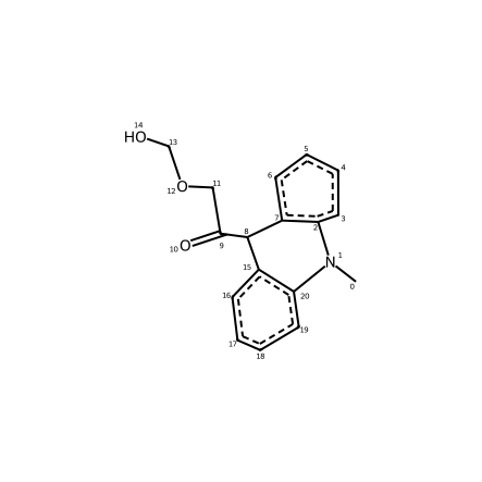 CN1c2ccccc2C(C(=O)COCO)c2ccccc21